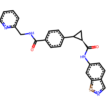 O=C(NCc1ccccn1)c1ccc(C2C[C@H]2C(=O)Nc2ccc3cnsc3c2)cc1